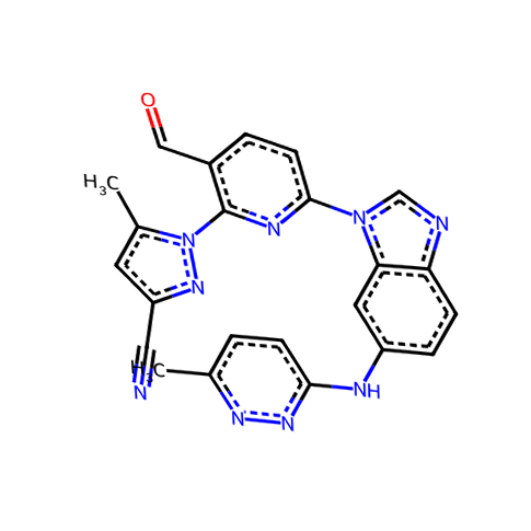 Cc1ccc(Nc2ccc3ncn(-c4ccc(C=O)c(-n5nc(C#N)cc5C)n4)c3c2)nn1